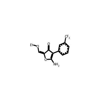 CCOC=C1OC(N)=C(c2cccc(C(F)(F)F)c2)C1=O